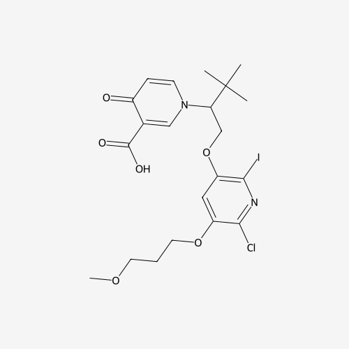 COCCCOc1cc(OCC(n2ccc(=O)c(C(=O)O)c2)C(C)(C)C)c(I)nc1Cl